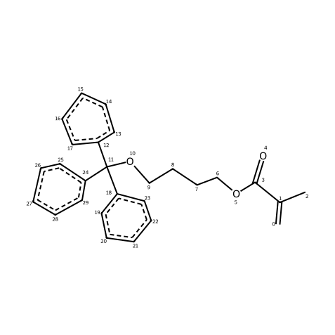 C=C(C)C(=O)OCCCCOC(c1ccccc1)(c1ccccc1)c1ccccc1